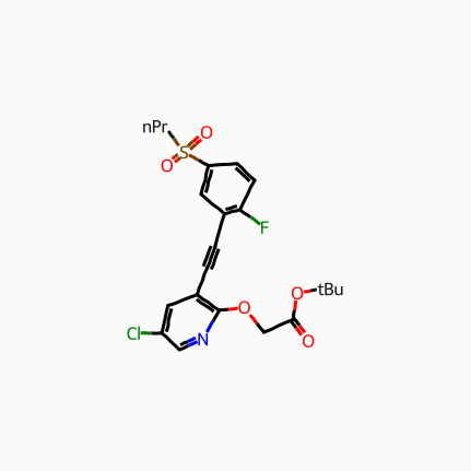 CCCS(=O)(=O)c1ccc(F)c(C#Cc2cc(Cl)cnc2OCC(=O)OC(C)(C)C)c1